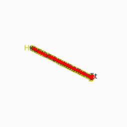 CCOS(=S)(=S)SSSSSSSSSSSSSSSSSSSSSSSSSSSSSSSSSSSSSSSSSSSSSSSSSSSSSSSSSSSSS